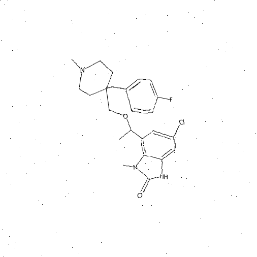 CC(OCC1(c2ccc(F)cc2)CCN(C)CC1)c1cc(Cl)cc2[nH]c(=O)n(C)c12